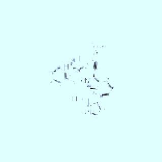 Cn1nccc1-c1cccc2c(C#CC3CC3)n(C(Cc3ccccc3)C(=O)NO)nc12